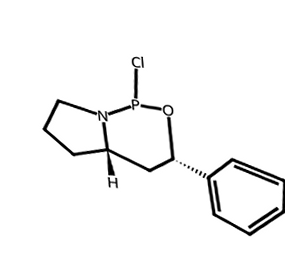 ClP1O[C@H](c2ccccc2)C[C@@H]2CCCN21